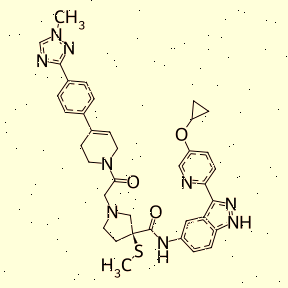 CS[C@@]1(C(=O)Nc2ccc3[nH]nc(-c4ccc(OC5CC5)cn4)c3c2)CCN(CC(=O)N2CC=C(c3ccc(-c4ncn(C)n4)cc3)CC2)C1